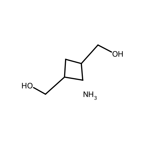 N.OCC1CC(CO)C1